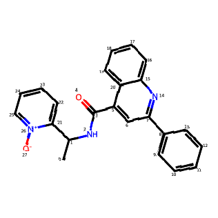 CC(NC(=O)c1cc(-c2ccccc2)nc2ccccc12)c1cccc[n+]1[O-]